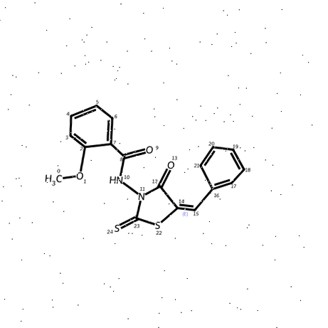 COc1ccccc1C(=O)NN1C(=O)/C(=C\c2ccccc2)SC1=S